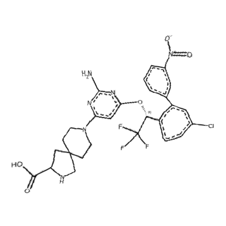 Nc1nc(O[C@H](c2ccc(Cl)cc2-c2cccc([N+](=O)[O-])c2)C(F)(F)F)cc(N2CCC3(CC2)CNC(C(=O)O)C3)n1